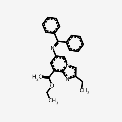 C=C(OCC)c1cc(N=C(c2ccccc2)c2ccccc2)cn2cc(CC)nc12